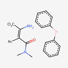 CC(=O)/C(C(=O)N(C)C)=C(/N)C(Cl)(Cl)Cl.[B](c1ccccc1)c1ccccc1